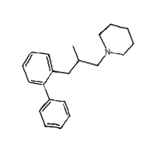 CC(Cc1ccccc1-c1ccccc1)CN1CCCCC1